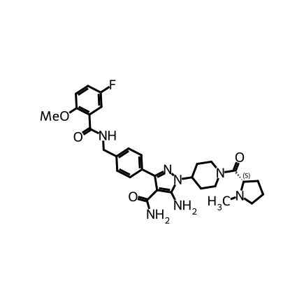 COc1ccc(F)cc1C(=O)NCc1ccc(-c2nn(C3CCN(C(=O)[C@@H]4CCCN4C)CC3)c(N)c2C(N)=O)cc1